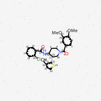 COc1ccc(C(=O)N2CC[C@H](NC(=O)c3ccccc3Cl)[C@@H](c3sccc3C)C2)cc1OC